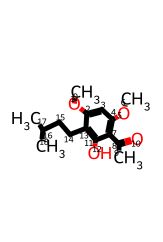 COc1cc(OC)c(C(C)=O)c(O)c1CCC(C)C